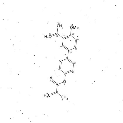 C=C(C)C(=O)Oc1ccc(-c2ccc(OC)c(C(=C)C)c2)cc1